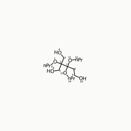 CCCOC(CO)(CO)C(CCO)(OCCC)OCCC